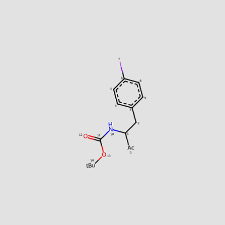 CC(=O)C(Cc1ccc(I)cc1)NC(=O)OC(C)(C)C